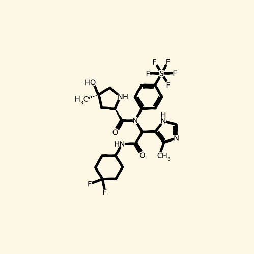 Cc1nc[nH]c1C(C(=O)NC1CCC(F)(F)CC1)N(C(=O)[C@H]1C[C@@](C)(O)CN1)c1ccc(S(F)(F)(F)(F)F)cc1